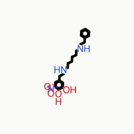 O=[N+]([O-])c1cc(CCNCCCCCCNCCc2ccccc2)cc(O)c1O